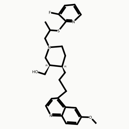 COc1ccc2nccc(CCC[C@@H]3CCN(CC(C)Sc4ncccc4F)C[C@@H]3CO)c2c1